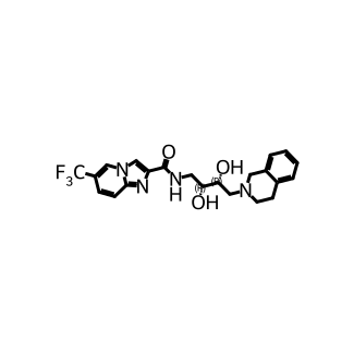 O=C(NC[C@@H](O)[C@H](O)CN1CCc2ccccc2C1)c1cn2cc(C(F)(F)F)ccc2n1